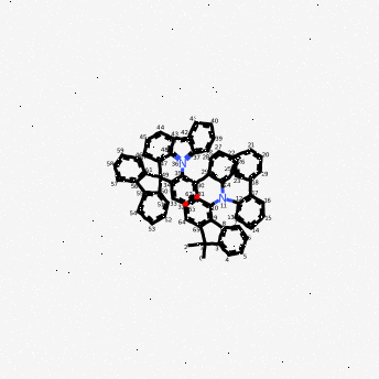 CC1(C)c2ccccc2-c2c(N(c3ccccc3-c3ccccc3)c3ccccc3-c3cccc4c3-n3c5ccccc5c5cccc(c53)C43c4ccccc4-c4ccccc43)cccc21